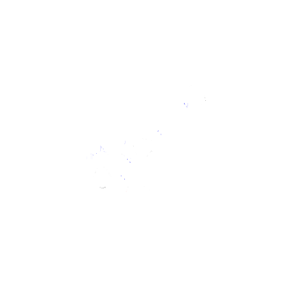 CC(C)(C)C(=O)Nc1cccc2[nH]nc(-c3nc4ccc(N5CCC(N6CCCCC6)CC5)cc4[nH]3)c12